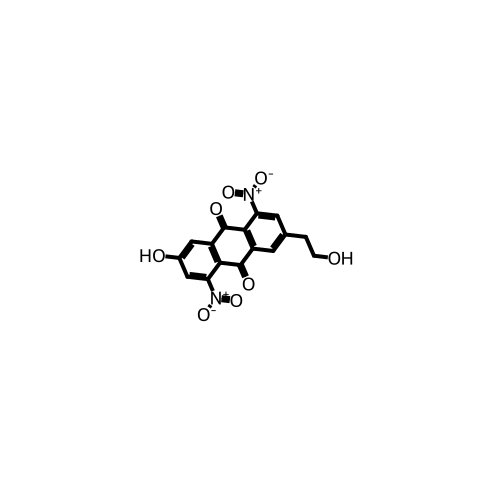 O=C1c2cc(CCO)cc([N+](=O)[O-])c2C(=O)c2cc(O)cc([N+](=O)[O-])c21